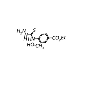 CCOC(=O)c1ccc(NC(=S)NN)cc1.CO